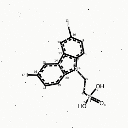 O=P(O)(O)CCn1c2ccc(I)cc2c2cc(I)ccc21